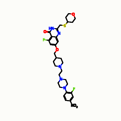 O=c1[nH]c(CSC2CCOCC2)nc2cc(OCC3CCN(CCN4CCN(c5ccc([N+](=O)[O-])cc5F)CC4)CC3)cc(F)c12